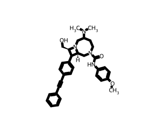 COc1ccc(NC(=O)N2CCC(N(C)C)CN3[C@H](CO)C(c4ccc(C#Cc5ccccc5)cc4)[C@@H]3C2)cc1